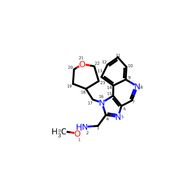 CONCc1nc2cnc3ccccc3c2n1CC1CCOCC1